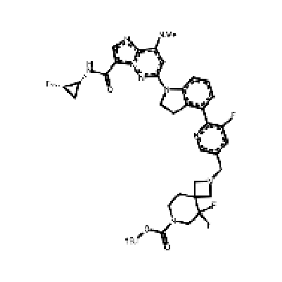 CNc1cc(N2CCc3c(-c4ncc(CN5CC6(CCN(C(=O)OC(C)(C)C)CC6(F)F)C5)cc4F)cccc32)nn2c(C(=O)N[C@@H]3C[C@@H]3F)cnc12